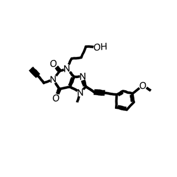 C#CCn1c(=O)c2c(nc(C#Cc3cccc(OC)c3)n2C)n(CCCO)c1=O